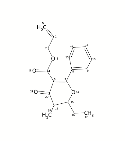 C=CCOC(=O)C1=C(c2ccccc2)OC(CC)C(C)C1=O